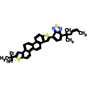 C/C=C\CC(C)(C)c1ccc(-c2cc3c(ccc4c3ccc3c5ccc6sc(C(C)(CC)CCC)cc6c5ccc43)s2)c2nsnc12